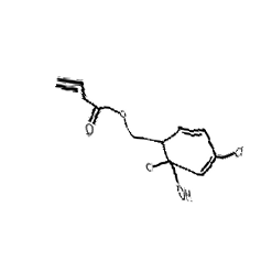 C=CC(=O)OCC1C=CC(Cl)=CC1(O)Cl